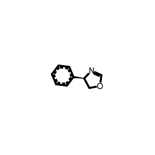 C1=N[C@H](c2ccccc2)CO1